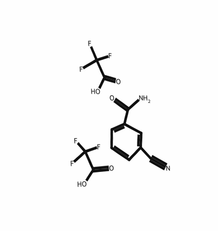 N#Cc1cccc(C(N)=O)c1.O=C(O)C(F)(F)F.O=C(O)C(F)(F)F